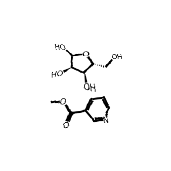 COC(=O)c1cccnc1.OC[C@H]1OC(O)[C@H](O)[C@@H]1O